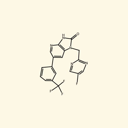 O=c1[nH]c2ncc(-c3cccc(C(F)(F)F)c3)cc2n1Cc1ncc(F)cn1